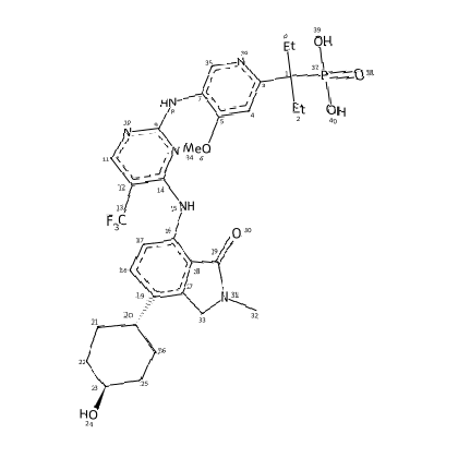 CCC(CC)(c1cc(OC)c(Nc2ncc(C(F)(F)F)c(Nc3ccc([C@H]4CC[C@H](O)CC4)c4c3C(=O)N(C)C4)n2)cn1)P(=O)(O)O